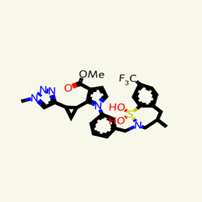 COC(=O)c1ccn(-c2cccc(CN3CC(C)Cc4ccc(C(F)(F)F)cc4S3(O)O)c2)c1C1CC1c1cn(C)nn1